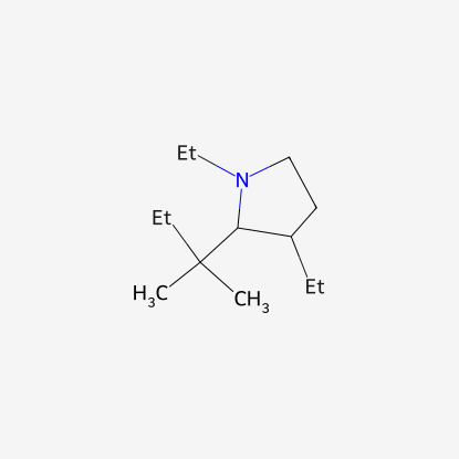 CCC1CCN(CC)C1C(C)(C)CC